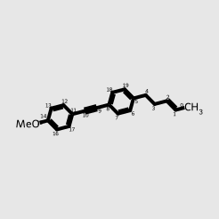 C/C=C/CCc1ccc(C#Cc2ccc(OC)cc2)cc1